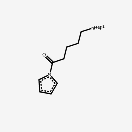 CCCCCCCCCCCC(=O)n1cccc1